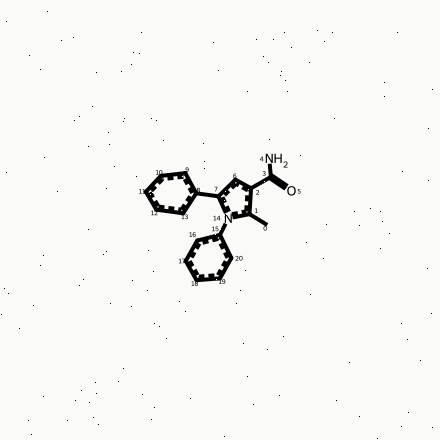 Cc1c(C(N)=O)cc(-c2ccccc2)n1-c1ccccc1